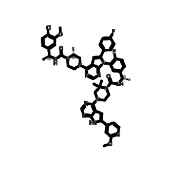 COc1cc(-c2cc3c(N4CCN(C(=O)N[C@@H](C)c5ccc(F)c(-n6c(-c7ccc(F)cc7)cc7c(N8CCN(C(=O)N[C@@H](C)c9ccc(Cl)c(OC)c9)[C@H](C)C8)ncnc76)c5)C(C)(C)C4)ncnc3[nH]2)ccn1